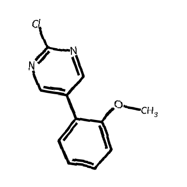 COc1ccccc1-c1cnc(Cl)nc1